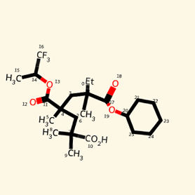 CCC(C)(CC(C)(CC(C)(C)C(=O)O)C(=O)OC(C)C(F)(F)F)C(=O)OC1CCCCC1